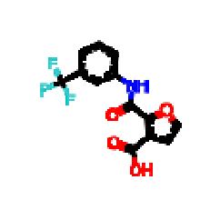 O=C(O)c1ccoc1C(=O)Nc1cccc(C(F)(F)F)c1